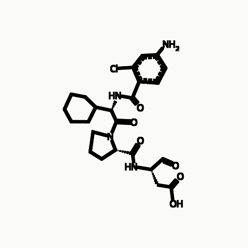 Nc1ccc(C(=O)N[C@H](C(=O)N2CCC[C@H]2C(=O)N[C@H](C=O)CC(=O)O)C2CCCCC2)c(Cl)c1